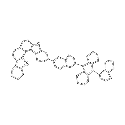 c1ccc2c(-c3c4ccccc4c(-c4ccc5cc(-c6ccc7c(c6)sc6ccc8ccc9c%10ccccc%10sc9c8c67)ccc5c4)c4ccccc34)cccc2c1